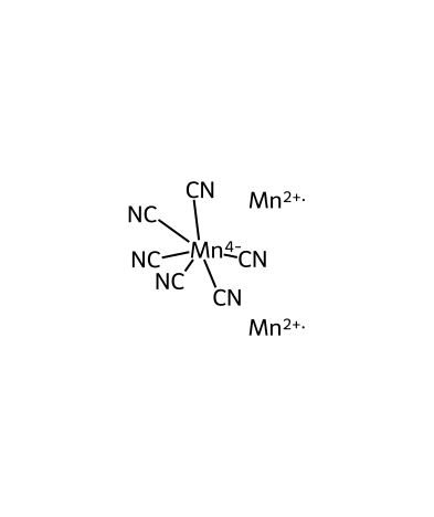 N#[C][Mn-4]([C]#N)([C]#N)([C]#N)([C]#N)[C]#N.[Mn+2].[Mn+2]